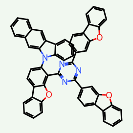 c1ccc2cc3c(cc2c1)c1ccccc1n3-c1ccc2c(oc3ccccc32)c1-c1nc(-c2ccc3c(c2)oc2ccccc23)nc(-c2ccc3c(c2)oc2ccccc23)n1